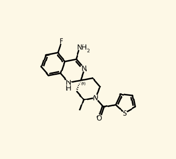 CC1C[C@@]2(CCN1C(=O)c1cccs1)N=C(N)c1c(F)cccc1N2